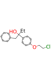 CCC(O)(Cc1ccccc1)c1ccc(OCCCl)cc1